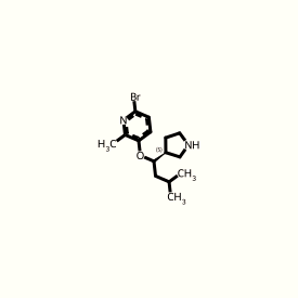 Cc1nc(Br)ccc1OC(CC(C)C)[C@H]1CCNC1